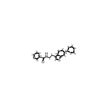 O=C(NCCc1csc2cc(-c3ccccc3)ccc12)c1cccnc1